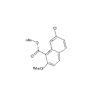 CCCCOC(=O)c1c(OC)ccc2ccc(Cl)cc12